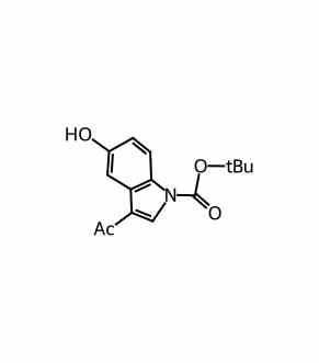 CC(=O)c1cn(C(=O)OC(C)(C)C)c2ccc(O)cc12